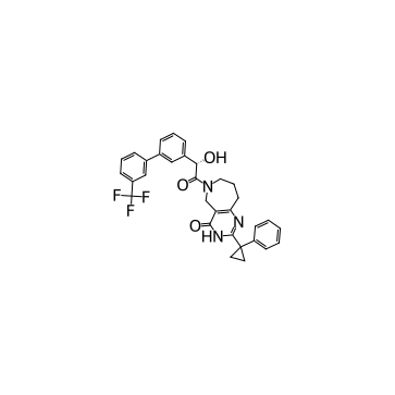 O=C([C@@H](O)c1cccc(-c2cccc(C(F)(F)F)c2)c1)N1CCCc2nc(C3(c4ccccc4)CC3)[nH]c(=O)c2C1